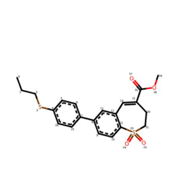 CCCSc1ccc(-c2ccc3c(c2)C=C(C(=O)OC)CCS3(=O)=O)cc1